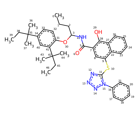 CCCC(NC(=O)c1cc(Sc2nnnn2-c2ccccc2)c2ccccc2c1O)Oc1ccc(C(C)(C)CC)cc1C(C)(C)CC